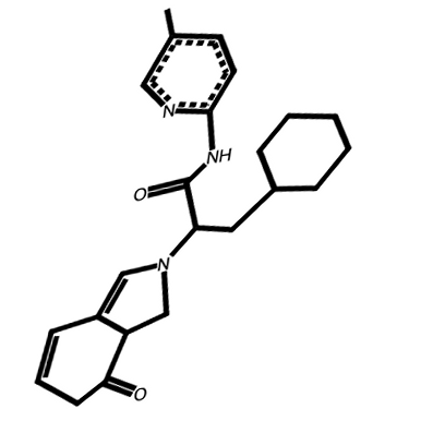 Cc1ccc(NC(=O)C(CC2CCCCC2)N2C=C3C=CCC(=O)C3C2)nc1